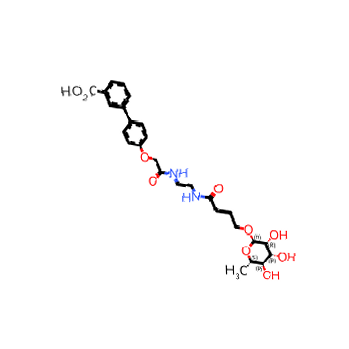 C[C@@H]1O[C@@H](OCCCC(=O)NCCNC(=O)COc2ccc(-c3cccc(C(=O)O)c3)cc2)[C@H](O)[C@H](O)[C@H]1O